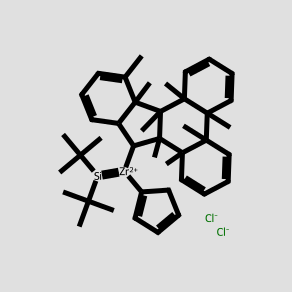 CC1=CC=CC2[CH]([Zr+2]([C]3=CC=CC3)=[Si](C(C)(C)C)C(C)(C)C)C3(C)C4(C)C=CC=CC4(C)C4(C)C=CC=CC4(C)C3(C)C12C.[Cl-].[Cl-]